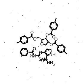 CS/C(=N\c1c([C@@H]2O[C@H](COC(=O)c3ccc(C)cc3)[C@@H](OC(=O)c3ccc(C)cc3)[C@@]2(C)OC(=O)c2ccc(C)cc2)n[nH]c1C(N)=O)NC(=O)c1ccccc1